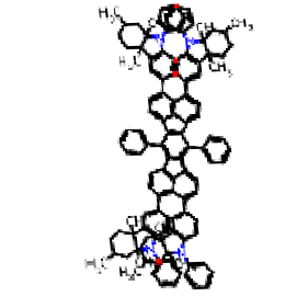 CC1CCC2(C)c3cc(-c4ccc5c6c(-c7ccccc7)c7c8ccc(-c9ccc%10c(c9)C9(C)CCC(C)CC9(C)N%10c9ccccc9)c9c(-c%10ccc%11c(c%10)C%10(C)CCC(C)CC%10(C)N%11c%10ccccc%10)ccc(c7c(-c7ccccc7)c6c6ccc(-c7ccc%10c(c7)C7(C)CCC(C)CC7(C)N%10c7ccccc7)c4c56)c98)ccc3N(c3ccccc3)C2(C)C1